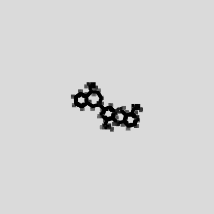 Nc1nc(N2CC[C@H](N)c3ccccc3C2)cnc1Sc1ccnc(N)c1Cl